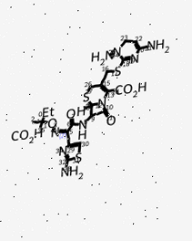 CCC(C)(O/N=C(\C(=O)NC1C(=O)N2C(C(=O)O)=C(CSC3=NC(N)=CCN3N)CS[C@@H]12)c1csc(N)n1)C(=O)O